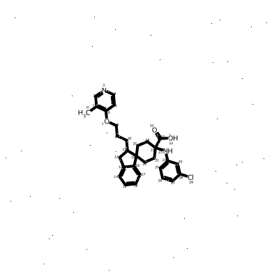 Cc1cnccc1OCCCC1Cc2ccccc2C12CCC(Nc1cccc(Cl)c1)(C(=O)O)CC2